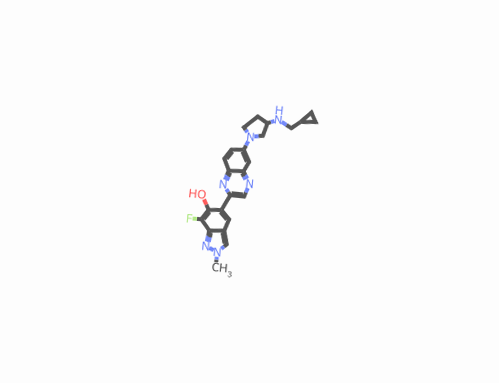 Cn1cc2cc(-c3cnc4cc(N5CCC(NCC6CC6)C5)ccc4n3)c(O)c(F)c2n1